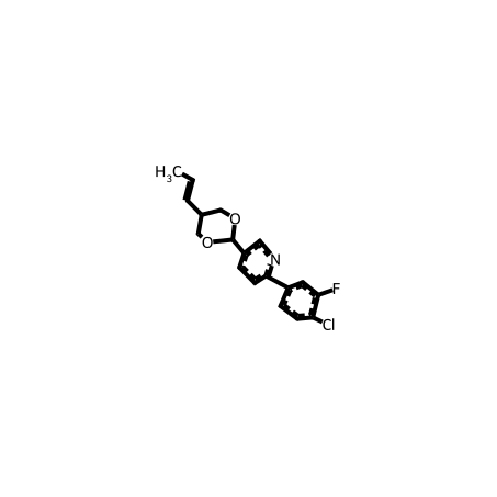 CC=CC1COC(c2ccc(-c3ccc(Cl)c(F)c3)nc2)OC1